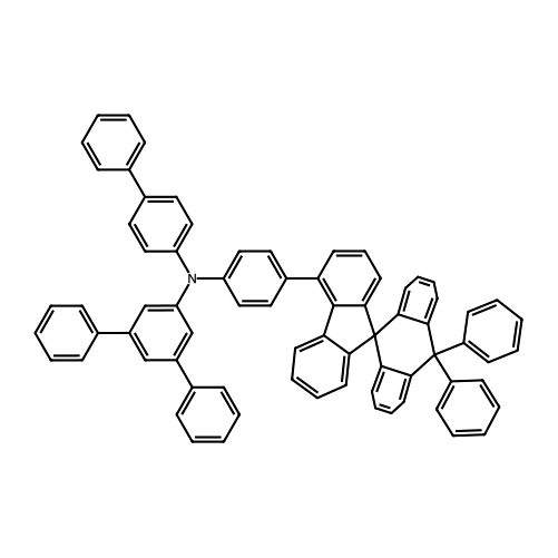 c1ccc(-c2ccc(N(c3ccc(-c4cccc5c4-c4ccccc4C54c5ccccc5C(c5ccccc5)(c5ccccc5)c5ccccc54)cc3)c3cc(-c4ccccc4)cc(-c4ccccc4)c3)cc2)cc1